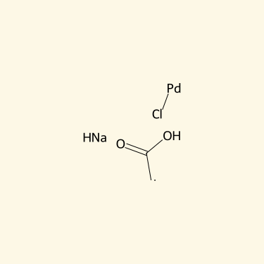 [CH2]C(=O)O.[Cl][Pd].[NaH]